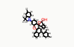 Cc1ccc(-c2cc3c(c4ccccc24)Oc2cc(N4CC(C)(C)c5cc(C)ccc54)ccc2C32OC(O)c3ccccc32)c(C)c1